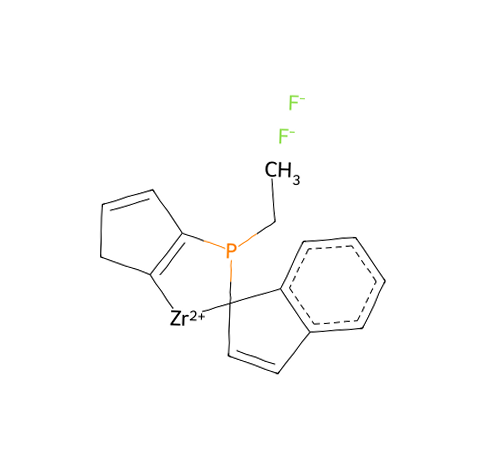 CCP1C2=[C](CC=C2)[Zr+2][C]12C=Cc1ccccc12.[F-].[F-]